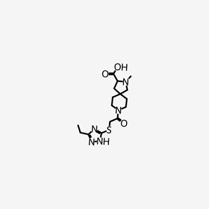 CCc1n[nH]c(SCC(=O)N2CCC3(CC2)CC(C(=O)O)N(C)C3)n1